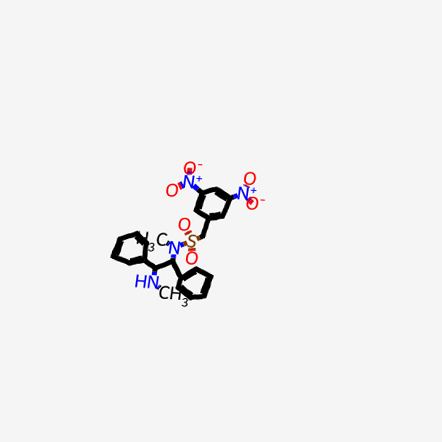 CNC(c1ccccc1)C(c1ccccc1)N(C)S(=O)(=O)Cc1cc([N+](=O)[O-])cc([N+](=O)[O-])c1